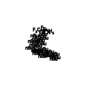 CCCC[N+](CCCC)(CCCC)CCCC.CCCC[N+](CCCC)(CCCC)CCCC.CCCC[N+](CCCC)(CCCC)CCCC.CCCC[N+](CCCC)(CCCC)CCCC.CCCC[N+](CCCC)(CCCC)CCCC.CCCC[N+](CCCC)(CCCC)CCCC.N#C[BH5-6](F)(F)C(F)(F)C(F)(F)F